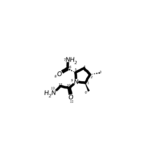 C[C@@H]1[C@@H](C)C[C@@H](C(N)=O)N1C(=O)CN